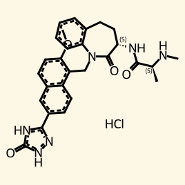 CN[C@@H](C)C(=O)N[C@H]1CCc2ccccc2N(Cc2c(OC)ccc3cc(-c4n[nH]c(=O)[nH]4)ccc23)C1=O.Cl